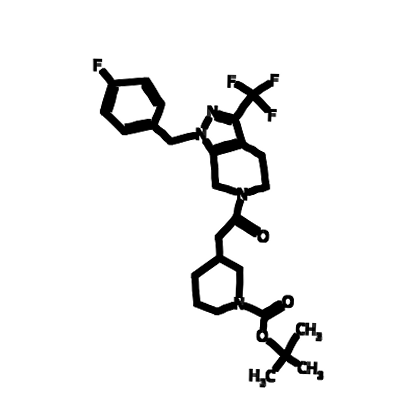 CC(C)(C)OC(=O)N1CCCC(CC(=O)N2CCc3c(C(F)(F)F)nn(Cc4ccc(F)cc4)c3C2)C1